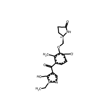 CCn1ncc(C(=O)c2ccc(Cl)c(OC[C@H]3CCC(=O)N3)c2C)c1O